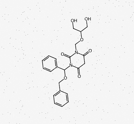 O=C1CC(=O)N(C(OCc2ccccc2)c2ccccc2)C(=O)N1COC(CO)CO